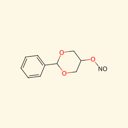 O=NOC1COC(c2ccccc2)OC1